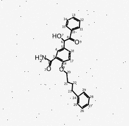 NC(=O)c1cc(C(O)C(=O)c2ccccc2)ccc1OCCCCc1ccccc1